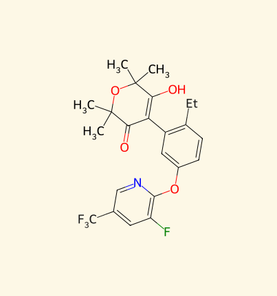 CCc1ccc(Oc2ncc(C(F)(F)F)cc2F)cc1C1=C(O)C(C)(C)OC(C)(C)C1=O